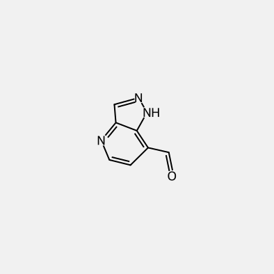 O=Cc1ccnc2cn[nH]c12